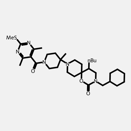 CCCCC1CN(CC2CCCCC2)C(=O)OC12CCN(C1(C)CCN(C(=O)c3c(C)nc(SC)nc3C)CC1)CC2